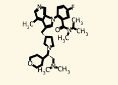 Cc1cncc2c1c(C[C@@H]1CCN([C@H](CN(C)C)C3CCOCC3)C1)cn2-c1ccc(F)cc1C(=O)N(C)C(C)C